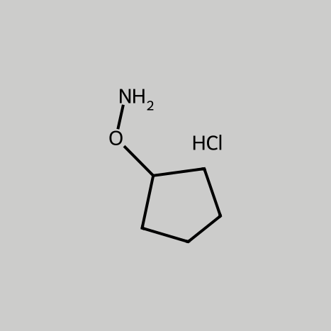 Cl.NOC1CCCC1